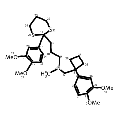 COc1ccc(C2(CN(C)CCCC3(c4ccc(OC)c(OC)c4)SCCCS3)CCC2)cc1OC